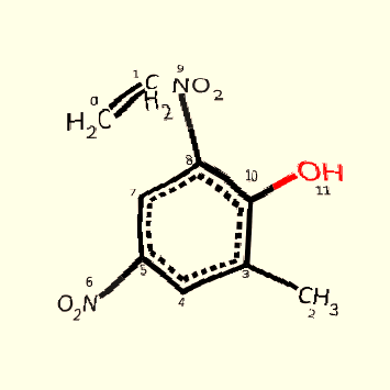 C=C.Cc1cc([N+](=O)[O-])cc([N+](=O)[O-])c1O